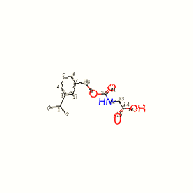 CC(C)c1cccc(COC(=O)NCC(=O)O)c1